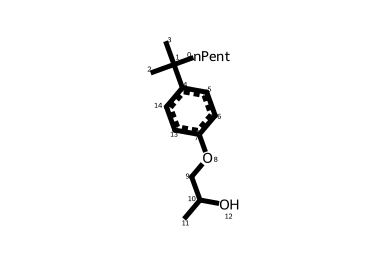 CCCCCC(C)(C)c1ccc(OCC(C)O)cc1